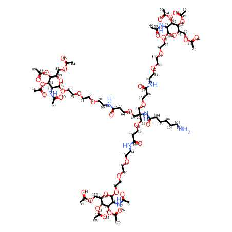 CC(=O)NC1C(OCCOCCOCCNC(=O)CCOCC(COCCC(=O)NCCOCCOCCOC2OC(COC(C)=O)C(OC(C)=O)C(OC(C)=O)C2NC(C)=O)(COCCC(=O)NCCOCCOCCOC2OC(COC(C)=O)C(OC(C)=O)C(OC(C)=O)C2NC(C)=O)NC(=O)CCCCCN)OC(COC(C)=O)C(OC(C)=O)C1OC(C)=O